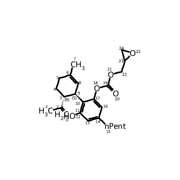 C=C(C)[C@@H]1CCC(C)=C[C@H]1c1c(O)cc(CCCCC)cc1OC(=O)OCC1CO1